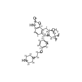 C[C@@H]1Cc2c(ccc3[nH]c(=O)oc23)[C@@H](c2ccc(OCCN3CCNCC3)cn2)N1CC(F)(F)F